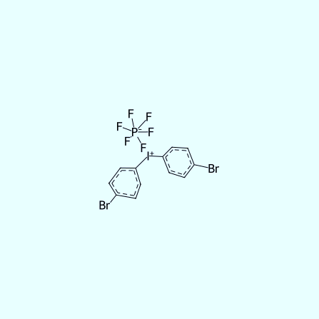 Brc1ccc([I+]c2ccc(Br)cc2)cc1.F[P-](F)(F)(F)(F)F